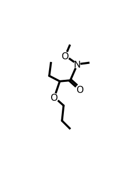 CCCOC(CC)C(=O)N(C)OC